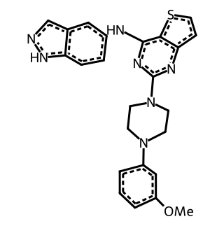 COc1cccc(N2CCN(c3nc(Nc4ccc5[nH]ncc5c4)c4sccc4n3)CC2)c1